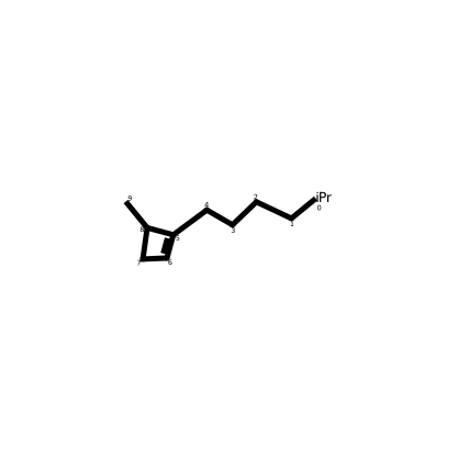 CC(C)CCCCC1=CCC1C